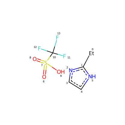 CCc1ncc[nH]1.O=S(=O)(O)C(F)(F)F